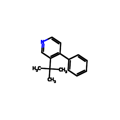 CC(C)(C)c1cnccc1-c1ccccc1